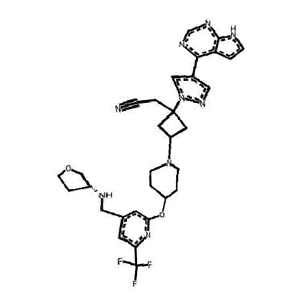 N#CCC1(n2cc(-c3ncnc4[nH]ccc34)cn2)CC(N2CCC(Oc3cc(CN[C@@H]4CCOC4)cc(C(F)(F)F)n3)CC2)C1